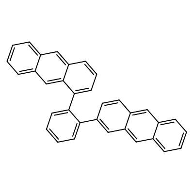 c1ccc(-c2cccc3cc4ccccc4cc23)c(-c2ccc3cc4ccccc4cc3c2)c1